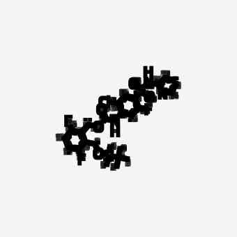 CC(C)(C)[Si](C)(C)OCc1c(F)ccc(F)c1COC(=O)Nc1cc(F)c(S(=O)(=O)Nc2cscn2)cc1Cl